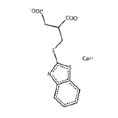 O=C([O-])CC(CSc1nc2ccccc2s1)C(=O)[O-].[Ca+2]